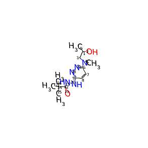 CC(O)CN(C)c1ccc(NNC(=O)C(C)(C)C)nn1